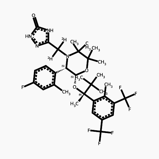 [2H]C([2H])(c1n[nH]c(=O)[nH]1)N1[C@@H](c2ccc(F)cc2C)[C@@H](O[C@@](C)(c2cc(C(F)(F)F)cc(C(F)(F)F)c2C)C(C)(C)C)OC(C)(C)C1(C)C